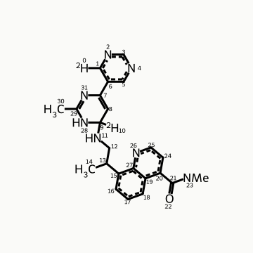 [2H]c1ncncc1C1=CC([2H])(NCC(C)c2cccc3c(C(=O)NC)ccnc23)NC(C)=N1